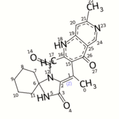 C/C(=C1\C(=O)NC2(CCCCC2)N1C=O)c1c(C)[nH]c2cc(C)ncc2c1=O